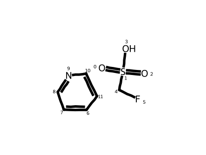 O=S(=O)(O)CF.c1ccncc1